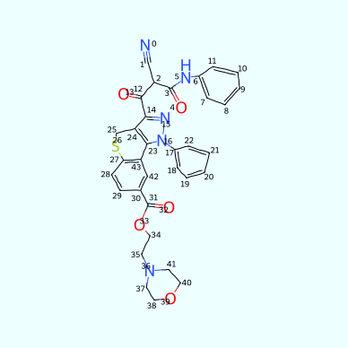 N#CC(C(=O)Nc1ccccc1)C(=O)c1nn(-c2ccccc2)c2c1CSc1ccc(C(=O)OCCN3CCOCC3)cc1-2